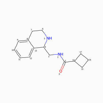 O=C(NCC1NCCc2ccccc21)C1CCC1